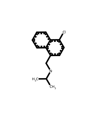 CC(C)[N]Cc1ccc(Cl)c2ccccc12